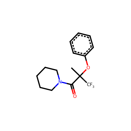 CC(Oc1ccccc1)(C(=O)N1CCCCC1)C(F)(F)F